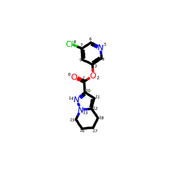 O=C(Oc1cncc(Cl)c1)c1cc2n(n1)CCCC2